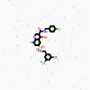 O=C(NCc1ccc(Cl)cc1)c1cnc2c(F)cc(S(=O)(=O)NCc3cc(C(F)(F)F)cc(C(F)(F)F)c3)cc2c1O